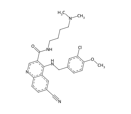 COc1ccc(CNc2c(C(=O)NCCCCN(C)C)cnc3ccc(C#N)cc23)cc1Cl